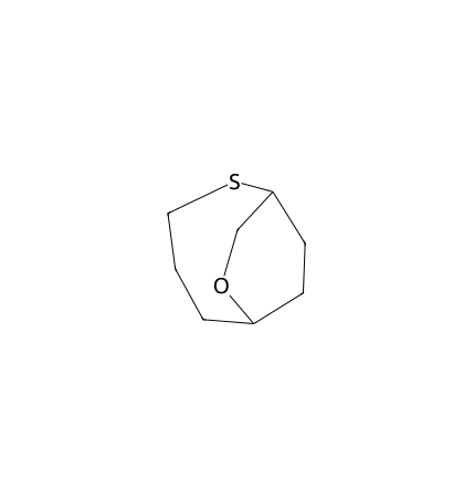 C1CSC2CCC(C1)OC2